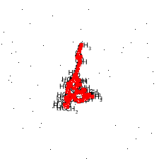 CCCCCOc1ccc(S(=O)(=O)NCCCCCCNC(=O)Oc2cc(O)c3c(c2)[C@@H](C(=O)O)NC(=O)[C@H]2NC(=O)[C@H](CC(=O)[C@@H]4NC(=O)[C@H](CC(N)=O)CC(=O)[C@H](NC(=O)[C@H](CC)CC(C)C)[C@H](O)c5ccc(c(Cl)c5)Oc5cc4cc(c5O[C@@H]4O[C@H](CO)[C@@H](O)[C@H](O)[C@H]4O[C@H]4C[C@](C)(N)[C@H](O)[C@H](C)O4)Oc4ccc(cc4Cl)[C@H]2O)c2ccc(O)c-3c2)cc1